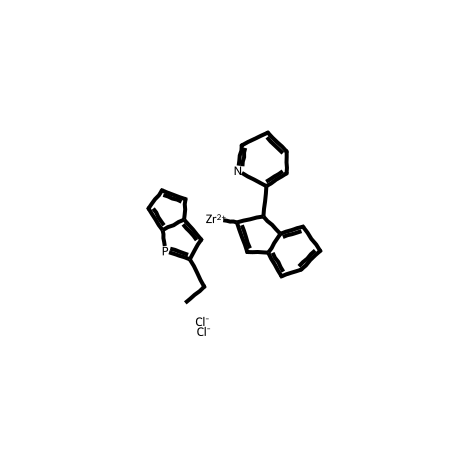 CCC1=PC2=CC=CC2=C1.[Cl-].[Cl-].[Zr+2][C]1=Cc2ccccc2C1c1ccccn1